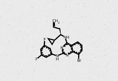 C=CC[C@@H](Nc1nc(Nc2cc(F)cc(F)c2)nc2c(Br)cccc12)C1CC1